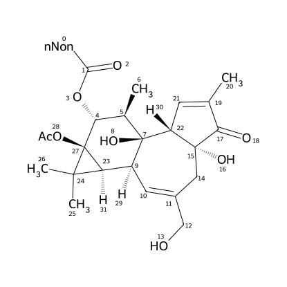 CCCCCCCCCC(=O)O[C@@H]1[C@@H](C)[C@@]2(O)[C@@H](C=C(CO)C[C@]3(O)C(=O)C(C)=C[C@@H]23)[C@H]2C(C)(C)[C@]12OC(C)=O